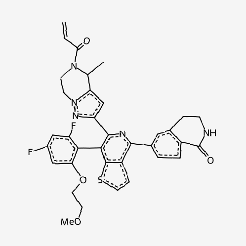 C=CC(=O)N1CCn2nc(-c3nc(-c4ccc5c(c4)CCNC5=O)c4ccsc4c3-c3c(F)cc(F)cc3OCCOC)cc2C1C